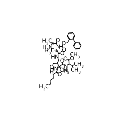 CCCCCC(=O)N[C@@](C)(C(=O)NC(C(=O)OC)C(C)C)C(CO)CNC(=O)[C@H](C)N(C(=O)OCc1ccccc1-c1ccccc1)C(=O)[C@H](C)N